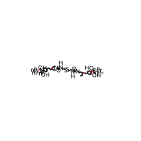 C=CC(/C=C/c1ccc(N(C(O)CCC)C(O)CCC)cc1)=C\C=N\CC(=O)NCCSSCCNC(=O)C[n+]1ccc(/C=C/c2ccc(N(C(O)CCC)C(O)CCC)cc2)cc1